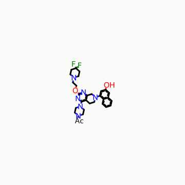 CC(=O)N1CCN(c2nc(OCCN3CCC(F)(F)CC3)nc3c2CCN(c2cc(O)cc4ccccc24)C3)CC1